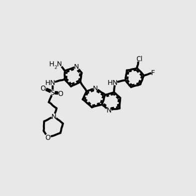 Nc1ncc(-c2ccc3nccc(Nc4ccc(F)c(Cl)c4)c3n2)cc1NS(=O)(=O)CCN1CCOCC1